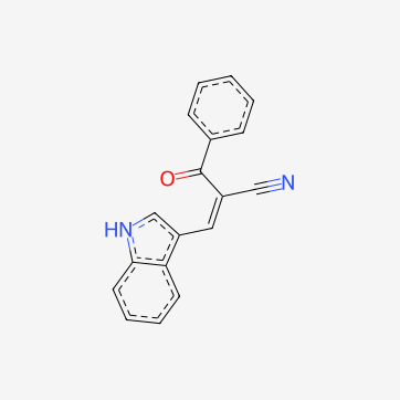 N#CC(=Cc1c[nH]c2ccccc12)C(=O)c1ccccc1